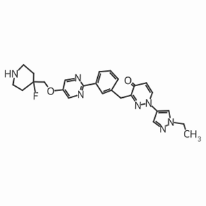 CCn1cc(-n2ccc(=O)c(Cc3cccc(-c4ncc(OCC5(F)CCNCC5)cn4)c3)n2)cn1